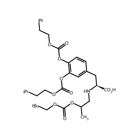 CC(C)CCOC(=O)Oc1ccc(C[C@H](NCC(C)OC(=O)OCC(C)(C)C)C(=O)O)cc1OC(=O)OCCC(C)C